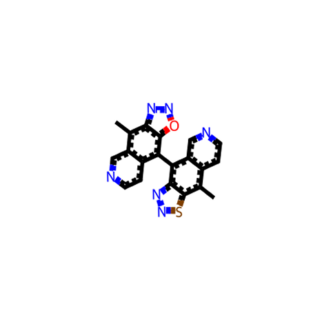 Cc1c2cnccc2c(-c2c3cnccc3c(C)c3snnc23)c2onnc12